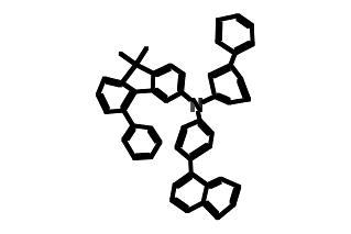 CC1(C)c2ccc(N(c3ccc(-c4cccc5ccccc45)cc3)c3cccc(-c4ccccc4)c3)cc2-c2c(-c3ccccc3)cccc21